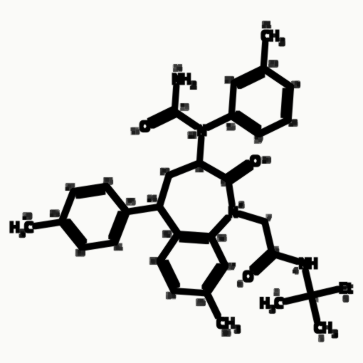 CCC(C)(C)NC(=O)CN1C(=O)C(N(C(N)=O)c2cccc(C)c2)CC(c2ccc(C)cc2)c2ccc(C)cc21